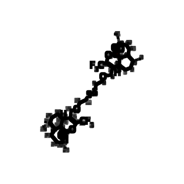 C[C@@H]1CC[C@H]2C(COCCSSCCOCC3=C(C(F)(F)F)O[C@@H]4O[C@]5(C)CCC6[C@H](C)CC[C@@H]3[C@]64OO5)=C(C(F)(F)F)O[C@@H]3O[C@]4(C)CCC1[C@]32OO4